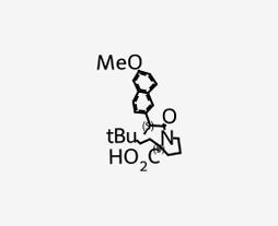 COc1ccc2cc([C@H](C)C(=O)N3CCC[C@@]3(CCC(C)(C)C)C(=O)O)ccc2c1